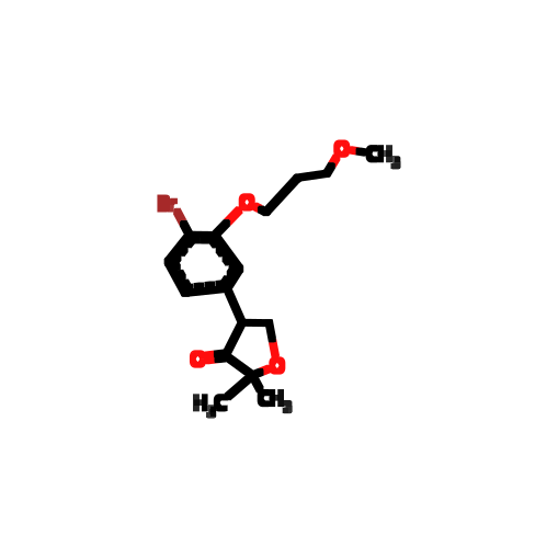 COCCCOc1cc(C2COC(C)(C)C2=O)ccc1Br